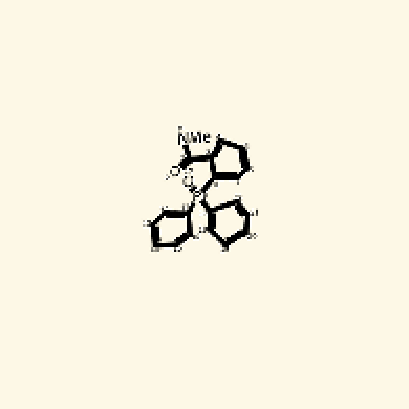 CNC(=O)c1ccccc1P(=O)(c1ccccc1)c1ccccc1